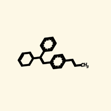 CCCc1ccc(CC(c2ccccc2)C2CC=CCC2)cc1